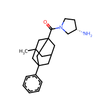 CC12CC3CC(C(=O)N4CC[C@H](N)C4)(C1)CC(c1ccccc1)(C3)C2